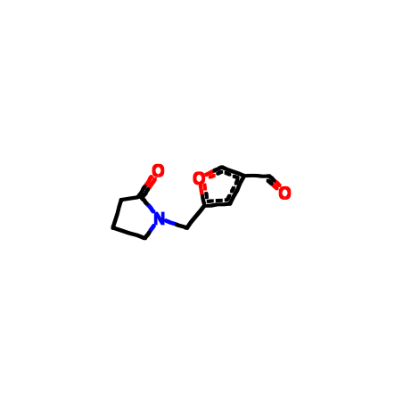 O=Cc1coc(CN2CCCC2=O)c1